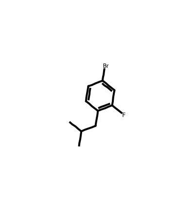 CC(C)Cc1ccc(Br)cc1F